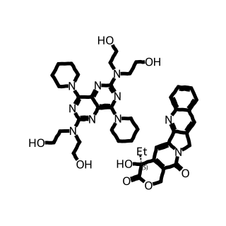 CC[C@@]1(O)C(=O)OCc2c1cc1n(c2=O)Cc2cc3ccccc3nc2-1.OCCN(CCO)c1nc(N2CCCCC2)c2nc(N(CCO)CCO)nc(N3CCCCC3)c2n1